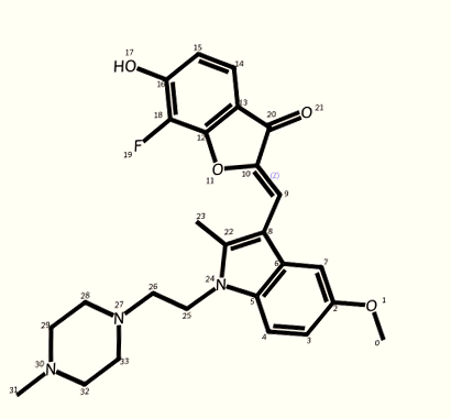 COc1ccc2c(c1)c(/C=C1\Oc3c(ccc(O)c3F)C1=O)c(C)n2CCN1CCN(C)CC1